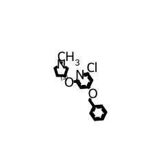 CN1CC[C@H](Oc2cc(OCc3ccccc3)cc(Cl)n2)C1